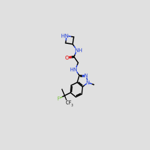 Cn1nc(NCC(=O)NC2CNC2)c2cc(C(C)(F)C(F)(F)F)ccc21